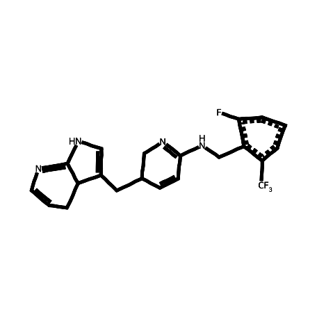 Fc1cccc(C(F)(F)F)c1CNC1=NCC(CC2=CNC3=NC=CCC23)C=C1